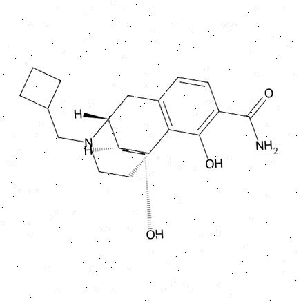 NC(=O)c1ccc2c(c1O)[C@]13CCN(CC4CCC4)[C@H](C2)[C@@H]1CC[C@@H](O)C3